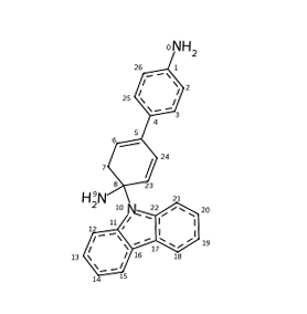 Nc1ccc(C2=CCC(N)(n3c4ccccc4c4ccccc43)C=C2)cc1